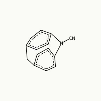 N#CN1c2ccc(cc2)Cc2ccc1cc2